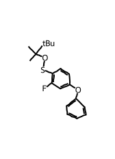 CC(C)(C)C(C)(C)OSc1ccc(Oc2ccccc2)cc1F